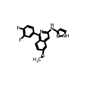 COc1ccc2c(-c3ccc(F)c(F)c3)nc(Nc3cc[nH]n3)cc2c1